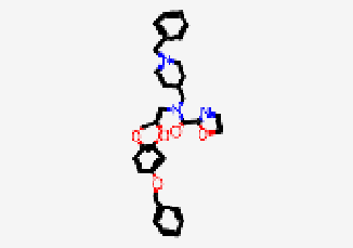 O=C(c1ncco1)N(CC1CCN(Cc2ccccc2)CC1)CC1COc2ccc(OCc3ccccc3)cc2O1